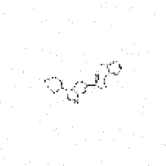 Cc1ccccc1C1=NCC(c2ccc3c(c2)N=CC3C2CCOCC2)=N1